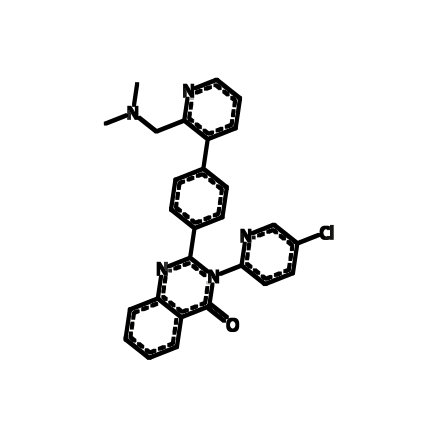 CN(C)Cc1ncccc1-c1ccc(-c2nc3ccccc3c(=O)n2-c2ccc(Cl)cn2)cc1